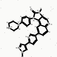 Cn1cc(-c2ccc(-c3ccc4ncc5c(c4c3)n(-c3ccc(N4CCNCC4)cc3)c(=O)n5C)cn2)cn1